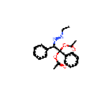 CCN=NC(c1ccccc1)C(OC(C)=O)(OC(C)=O)c1ccccc1